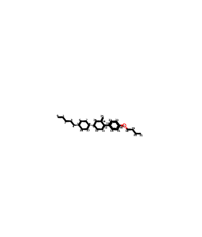 CCCCC[C@H]1CC[C@H](C2CCC(c3ccc(OCCCC)cc3)C(C)C2)CC1